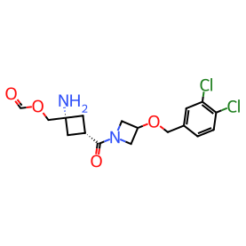 N[C@]1(COC=O)C[C@H](C(=O)N2CC(OCc3ccc(Cl)c(Cl)c3)C2)C1